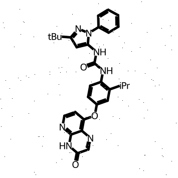 CC(C)c1cc(Oc2ccnc3[nH]c(=O)cnc23)ccc1NC(=O)Nc1cc(C(C)(C)C)nn1-c1ccccc1